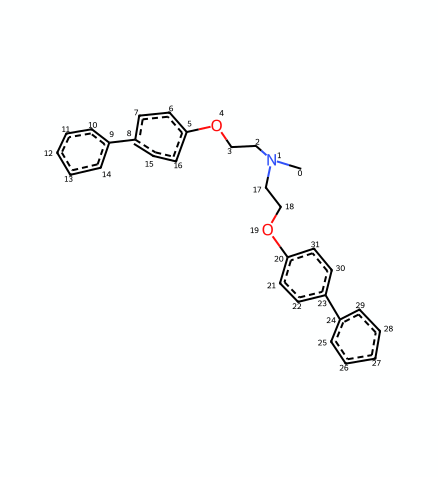 CN(CCOc1ccc(-c2ccccc2)cc1)CCOc1ccc(-c2ccccc2)cc1